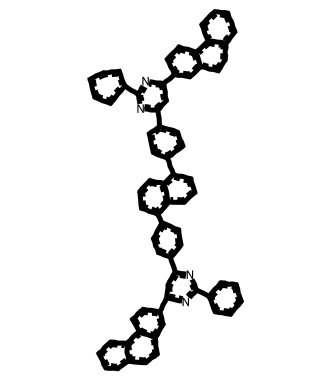 c1ccc(-c2nc(-c3ccc(-c4cccc5c(-c6ccc(-c7cc(-c8ccc9c(ccc%10ccccc%109)c8)nc(-c8ccccc8)n7)cc6)cccc45)cc3)cc(-c3ccc4c(ccc5ccccc54)c3)n2)cc1